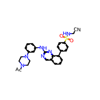 CC(=O)N1CCN(c2cccc(Nc3ncc4cccc(-c5ccc(S(=O)(=O)NCC#N)cc5)c4n3)c2)CC1